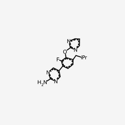 CC(C)Cc1ccc(-c2cnc(N)nc2)c(F)c1Oc1ncccn1